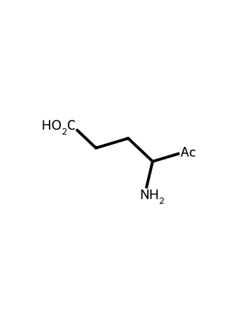 [C]C(=O)C(N)CCC(=O)O